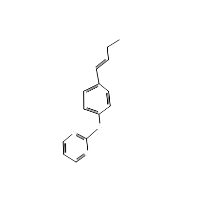 O=C(O)CC=Cc1ccc(Nc2ncccn2)cc1